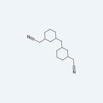 N#CCC1CCCC(CC2CCCC(CC#N)C2)C1